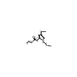 CCCCn1cc(CC)cc1CC(=O)OCC